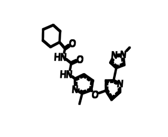 Cc1nc(NC(=O)NC(=O)C2CCCCC2)ccc1Oc1ccnc(-c2cnn(C)c2)c1